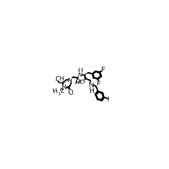 CC[C@H]1CN(CC(=O)N[C@@H](Cc2cc(F)cc(F)c2)[C@H](O)CNCc2cccc(I)c2)CC(=O)N1C